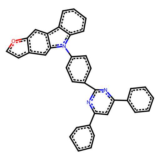 c1ccc(-c2cc(-c3ccccc3)nc(-c3ccc(-n4c5ccccc5c5cc6occc6cc54)cc3)n2)cc1